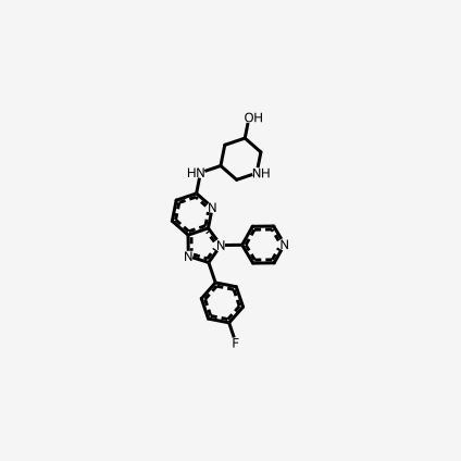 OC1CNCC(Nc2ccc3nc(-c4ccc(F)cc4)n(-c4ccncc4)c3n2)C1